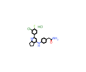 Cl.NC(=O)Cc1ccc(Nc2cc(-c3ccc(F)c(Cl)c3)nc3c2CCC3)cc1